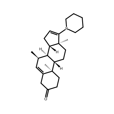 C[C@@H]1C=C2CC(=O)CC[C@]2(C)[C@H]2CC[C@]3(C)C(N4CCCCC4)=CC[C@H]3[C@H]12